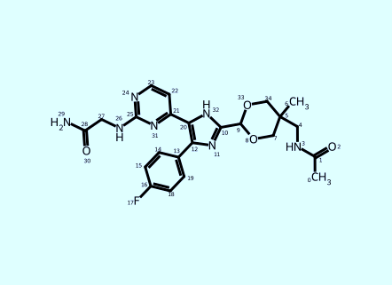 CC(=O)NCC1(C)COC(c2nc(-c3ccc(F)cc3)c(-c3ccnc(NCC(N)=O)n3)[nH]2)OC1